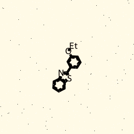 CCOc1cccc(-c2nc3ccccc3s2)c1